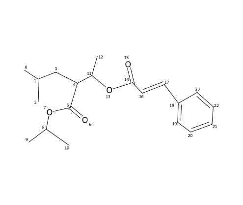 CC(C)CC(C(=O)OC(C)C)C(C)OC(=O)C=Cc1ccccc1